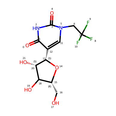 O=c1[nH]c(=O)n(CC(F)(F)F)cc1[C@@H]1O[C@H](CO)C(O)[C@@H]1O